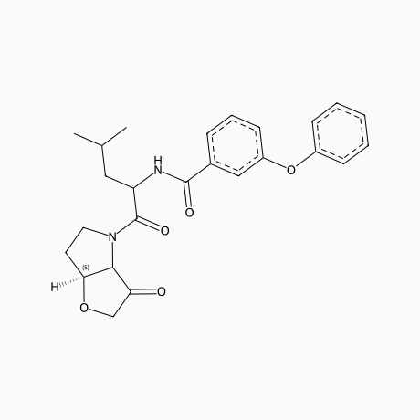 CC(C)CC(NC(=O)c1cccc(Oc2ccccc2)c1)C(=O)N1CC[C@@H]2OCC(=O)C21